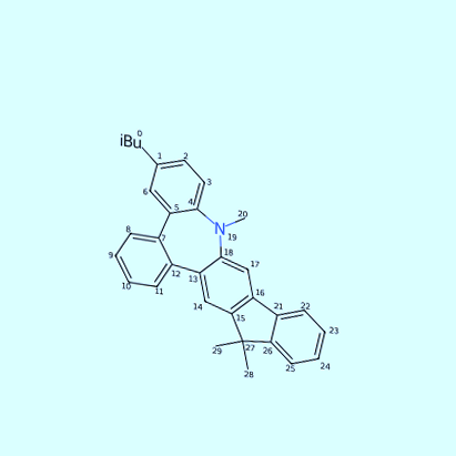 CCC(C)c1ccc2c(c1)-c1ccccc1-c1cc3c(cc1N2C)-c1ccccc1C3(C)C